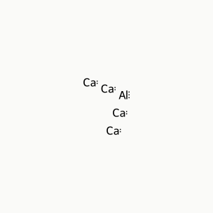 [Al].[Ca].[Ca].[Ca].[Ca]